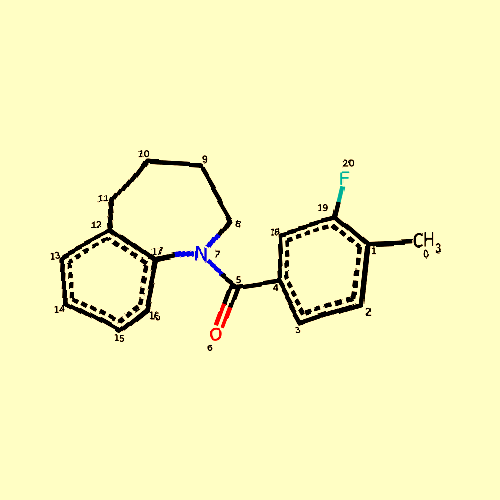 Cc1ccc(C(=O)N2CCCCc3ccccc32)cc1F